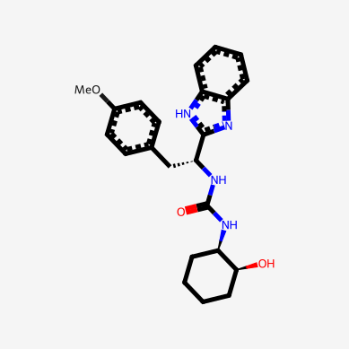 COc1ccc(C[C@@H](NC(=O)N[C@@H]2CCCC[C@@H]2O)c2nc3ccccc3[nH]2)cc1